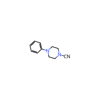 N#CN1CCN(c2ccccc2)CC1